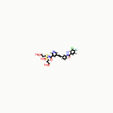 O=C(N=[SH](O)(CCCO)CCCO)c1cncc(C#Cc2cccc(NC(=O)c3ccc(F)c(Cl)c3)c2)c1